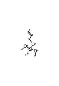 C=CCO[Si](F)(OC)OC